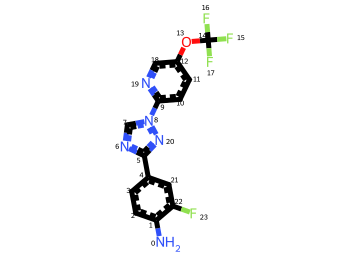 Nc1ccc(-c2ncn(-c3ccc(OC(F)(F)F)cn3)n2)cc1F